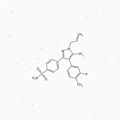 C=CCn1nc(-c2ccc(S(N)(=O)=O)cc2)c(-c2ccc(C)c(F)c2)c1C(F)(F)F